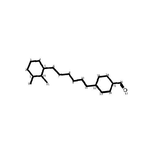 CC1CCCC(CCCCCCC2CCC(C=O)CC2)C1C